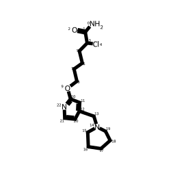 NC(=O)C(Cl)CCCCOc1cc(CN2CCCCC2)ccn1